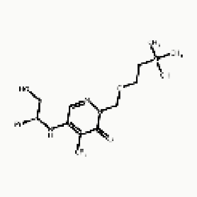 CC(C)[C@@H](CO)Nc1cnn(COCC[Si](C)(C)C)c(=O)c1C(F)(F)F